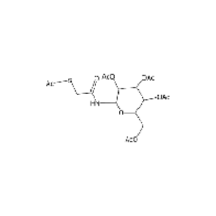 CC(=O)OCC1OC(NC(=O)CSC(C)=O)C(OC(C)=O)C(OC(C)=O)C1OC(C)=O